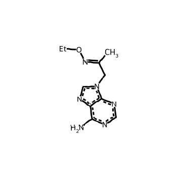 CCON=C(C)Cn1cnc2c(N)ncnc21